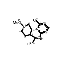 CCCC(Nc1ncnc(Cl)n1)C1CCN(OC)CC1